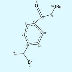 CC(Br)c1ccc(C(=O)CC(C)(C)C)cc1